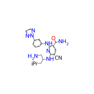 CC(C)CC(CN)Nc1nc(Nc2cccc(-n3nccn3)c2)c(C(N)=O)cc1C#N